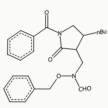 CCCCC1CN(C(=O)c2ccccc2)C(=O)C1CN(C=O)OCc1ccccc1